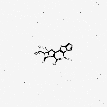 CSc1c(C2=C(C(=O)O)N3C(=O)[C@H]([C@@H](C)O)[C@H]3C2)sc2cncn12